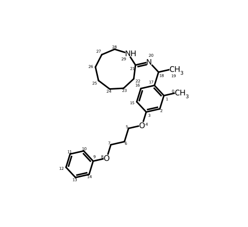 Cc1cc(OCCCOc2ccccc2)ccc1C(C)N=C1CCCCCCCN1